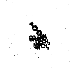 Cc1onc(-c2ccc(-c3ccc(C4CC4)cc3)cc2)c1NC(=O)OC(C)c1cnccn1.O=C(O)O